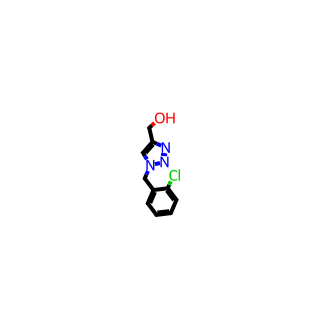 OCc1cn(Cc2ccccc2Cl)nn1